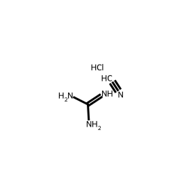 C#N.Cl.N=C(N)N